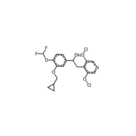 OC(Cc1c(OCl)cncc1OCl)c1ccc(OC(F)F)c(OCC2CC2)c1